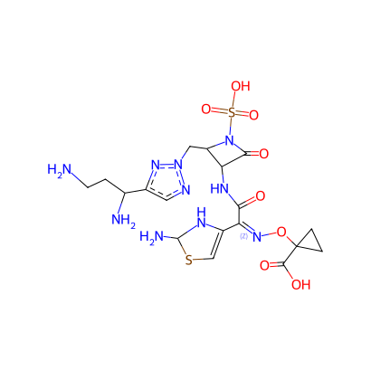 NCCC(N)c1cnn(CC2C(NC(=O)/C(=N\OC3(C(=O)O)CC3)C3=CSC(N)N3)C(=O)N2S(=O)(=O)O)n1